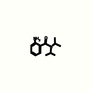 CC(C)N(C(=O)c1ccccc1N)C(C)C